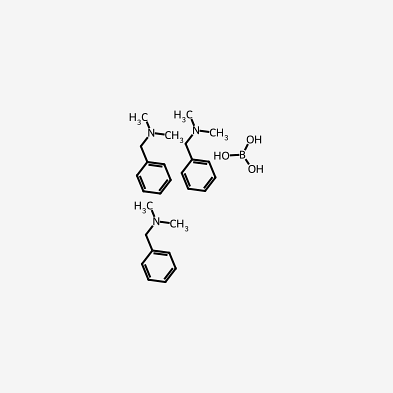 CN(C)Cc1ccccc1.CN(C)Cc1ccccc1.CN(C)Cc1ccccc1.OB(O)O